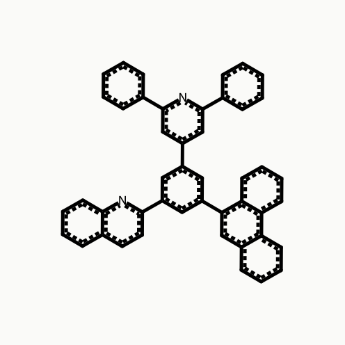 c1ccc(-c2cc(-c3cc(-c4ccc5ccccc5n4)cc(-c4cc5ccccc5c5ccccc45)c3)cc(-c3ccccc3)n2)cc1